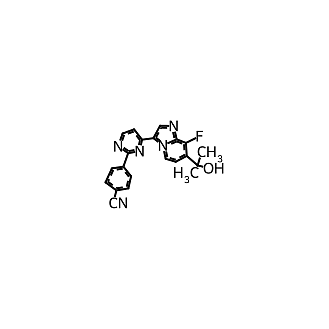 CC(C)(O)c1ccn2c(-c3ccnc(-c4ccc(C#N)cc4)n3)cnc2c1F